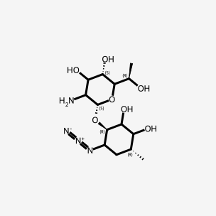 C[C@@H]1CC(N=[N+]=[N-])[C@@H](O[C@H]2OC([C@@H](C)O)[C@@H](O)C(O)C2N)C(O)C1O